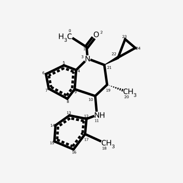 CC(=O)N1c2ccccc2C(Nc2ccccc2C)[C@@H](C)[C@@H]1C1CC1